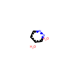 O.O.c1ccnnc1